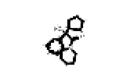 O=C(N1CC[CH]CC1)[C@](O)(c1ccccc1)C1CCCC1